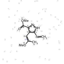 C=Nc1[nH]nc(C(=O)OC)c1/C=C(\C)OC